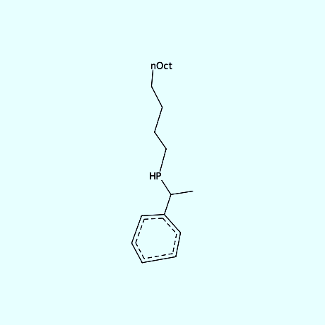 CCCCCCCCCCCCPC(C)c1ccccc1